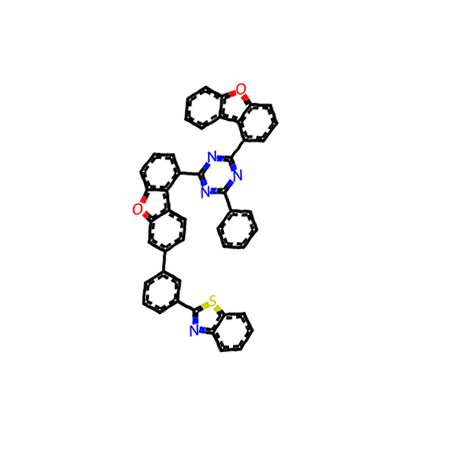 c1ccc(-c2nc(-c3cccc4oc5ccccc5c34)nc(-c3cccc4oc5cc(-c6cccc(-c7nc8ccccc8s7)c6)ccc5c34)n2)cc1